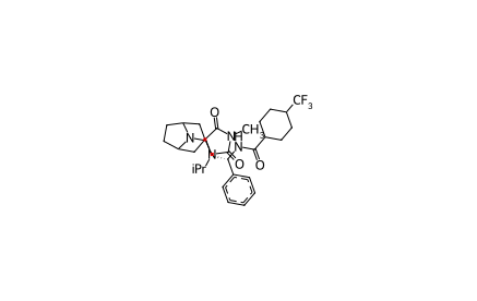 CC(C)N1C(=O)N(C)C(=O)C12CC1CCC(C2)N1CC[C@H](NC(=O)C1CCC(C(F)(F)F)CC1)c1ccccc1